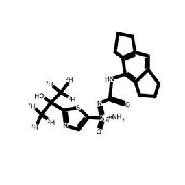 [2H]C([2H])([2H])C(O)(c1ncc([S@](N)(=O)=NC(=O)Nc2c3c(cc4c2CCC4)CCC3)s1)C([2H])([2H])[2H]